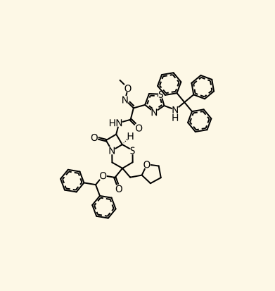 CON=C(C(=O)NC1C(=O)N2CC(CC3CCCO3)(C(=O)OC(c3ccccc3)c3ccccc3)CS[C@H]12)c1csc(NC(c2ccccc2)(c2ccccc2)c2ccccc2)n1